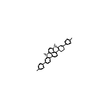 Cc1ccc(C2=CC3=C(CC2)c2ccc4c5c(ccc(c25)N3C)N(C)c2cc(-c3ccc(C)cc3)ccc2-4)cc1